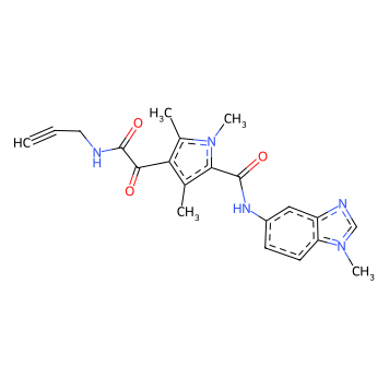 C#CCNC(=O)C(=O)c1c(C)c(C(=O)Nc2ccc3c(c2)ncn3C)n(C)c1C